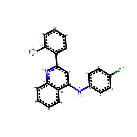 Fc1ccc(Nc2cc(-c3ccccc3C(F)(F)F)nc3ccccc23)cc1